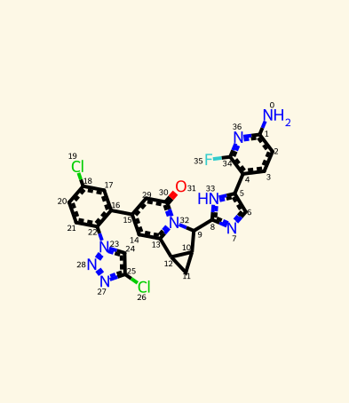 Nc1ccc(-c2cnc(C3C4CC4c4cc(-c5cc(Cl)ccc5-n5cc(Cl)nn5)cc(=O)n43)[nH]2)c(F)n1